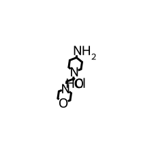 Cl.NC1CCN(C(=O)CN2CCOCC2)CC1